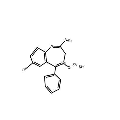 CNC1=Nc2ccc(Cl)cc2C(c2ccccc2)=[N+]([O-])C1.[KH].[KH]